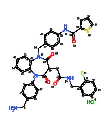 Cl.NCc1ccc(N2C(=O)C(CC(=O)NCc3ccccc3F)C(=O)N(Cc3ccc(NC(=O)c4cccs4)cc3)c3ccccc32)cc1